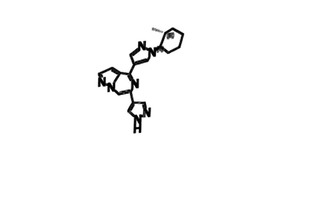 C[C@@H]1CCCC[C@H]1n1cc(-c2nc(-c3cn[nH]c3)cn3nccc23)cn1